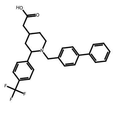 O=C(O)CC1CCN(Cc2ccc(-c3ccccc3)cc2)C(c2ccc(C(F)(F)F)cc2)C1